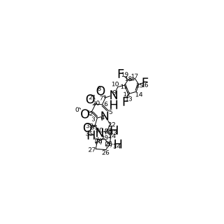 COc1c2n(cc(C(=O)NCc3c(F)cc(F)cc3F)c1=O)C[C@@H]1C[C@H]3CC[C@H](C3)N1C2=O